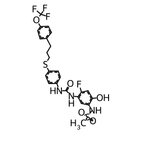 CS(=O)(=O)Nc1cc(NC(=O)Nc2ccc(SCCCc3ccc(OC(F)(F)F)cc3)cc2)c(F)cc1O